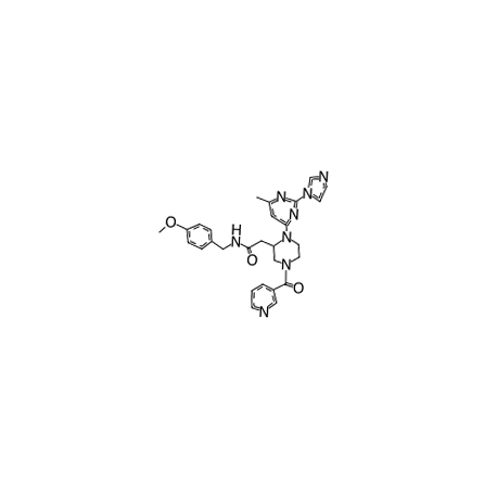 COc1ccc(CNC(=O)CC2CN(C(=O)c3cccnc3)CCN2c2cc(C)nc(-n3ccnc3)n2)cc1